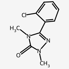 Cn1nc(-c2ccccc2Cl)n(C)c1=O